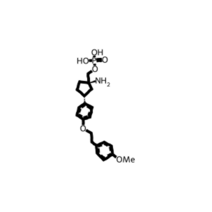 COc1ccc(CCOc2ccc([C@@H]3CC[C@](N)(COP(=O)(O)O)C3)cc2)cc1